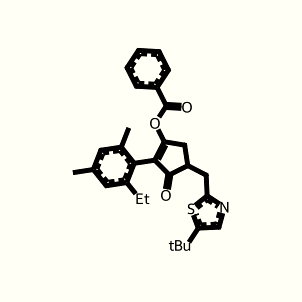 CCc1cc(C)cc(C)c1C1=C(OC(=O)c2ccccc2)CC(Cc2ncc(C(C)(C)C)s2)C1=O